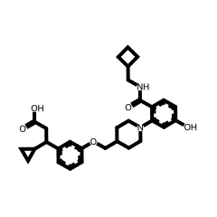 O=C(O)CC(c1cccc(OCC2CCN(c3cc(O)ccc3C(=O)NCC3CCC3)CC2)c1)C1CC1